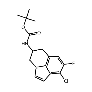 CC(C)(C)OC(=O)NC1Cc2cc(F)c(Cl)c3ccn(c23)C1